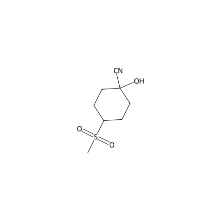 CS(=O)(=O)C1CCC(O)(C#N)CC1